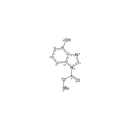 CC(C)(C)OC(=O)n1cnc2c(O)cccc21